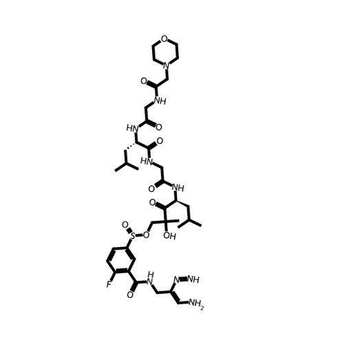 CC(C)C[C@H](NC(=O)CNC(=O)CN1CCOCC1)C(=O)NCC(=O)N[C@@H](CC(C)C)C(=O)C(C)(O)COS(=O)c1ccc(F)c(C(=O)NC/C(=C/N)N=N)c1